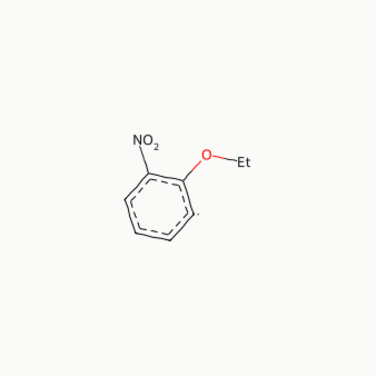 CCOc1[c]cccc1[N+](=O)[O-]